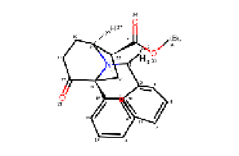 CC(c1ccccc1)N1[C@H]2CCC(=O)[C@@]1(c1ccccc1)C[C@@H]2C(=O)OC(C)(C)C